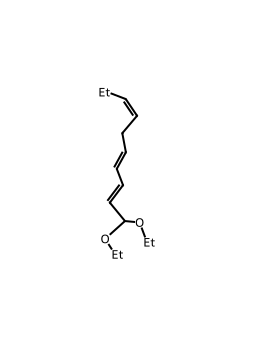 CC/C=C\CC=C/C=C/C(OCC)OCC